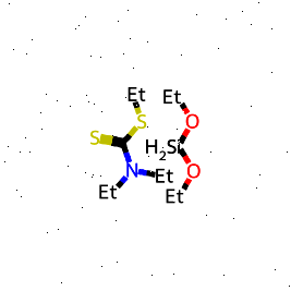 CCO[SiH2]OCC.CCSC(=S)N(CC)CC